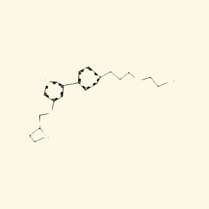 OCCOCCCc1ccc(-c2cncc(OC[C@@H]3CCN3)c2)cc1